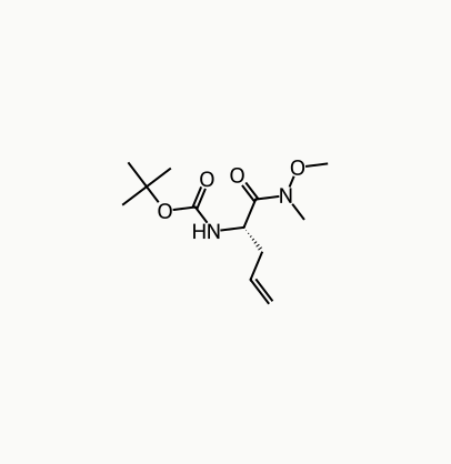 C=CC[C@H](NC(=O)OC(C)(C)C)C(=O)N(C)OC